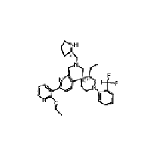 CCOc1ncccc1-c1ccc2c(n1)CN(C[C@H]1CCCN1)C[C@@]21CCN(c2ccccc2C(F)(F)F)C[C@@H]1CC